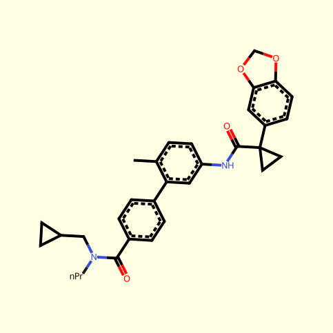 CCCN(CC1CC1)C(=O)c1ccc(-c2cc(NC(=O)C3(c4ccc5c(c4)OCO5)CC3)ccc2C)cc1